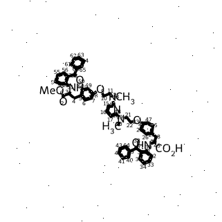 COC(=O)C(Cc1ccc(OCCN(C)c2cccc(N(C)CCOc3ccc(C[C@H](Nc4ccccc4C(=O)c4ccccc4)C(=O)O)cc3)n2)cc1)Nc1ccccc1C(=O)c1ccccc1